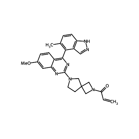 C=CC(=O)N1CC2(CCN(c3nc(-c4c(C)ccc5[nH]ncc45)c4ccc(OC)cc4n3)C2)C1